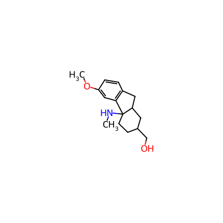 CNC12CCC(CO)CC1Cc1ccc(OC)cc12